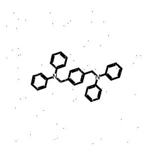 c1ccc(N(Cc2ccc(CN(c3ccccc3)c3ccccc3)cc2)c2ccccc2)cc1